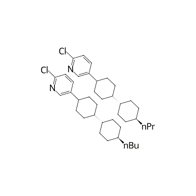 CCCC[C@H]1CC[C@H](C2CCC(c3ccc(Cl)nc3)CC2)CC1.CCC[C@H]1CC[C@H](C2CCC(c3ccc(Cl)nc3)CC2)CC1